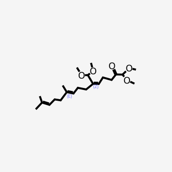 COC(OC)C(=O)CC/C=C(/CC/C=C(\C)CCC=C(C)C)C(OC)OC